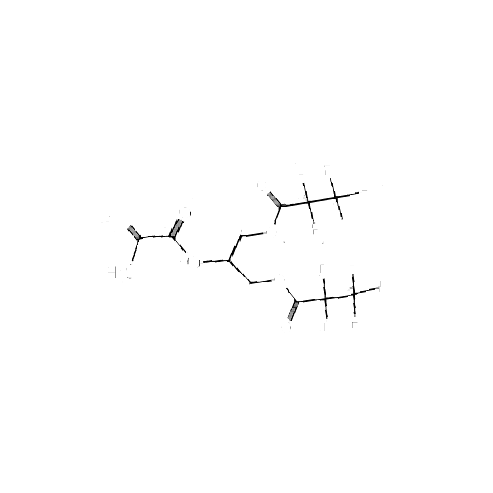 C=C(C)C(=O)OC(COC(=O)C(F)(F)C(F)(F)F)COC(=O)C(F)(F)C(F)(F)F